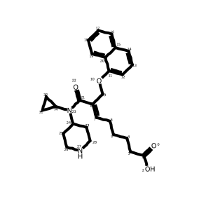 O=C(O)CCCC/C=C(\COc1cccc2ccccc12)C(=O)N(C1CCNCC1)C1CC1